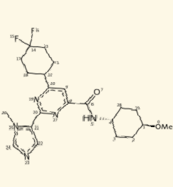 CO[C@H]1CC[C@H](NC(=O)c2cc(C3CCC(F)(F)CC3)nc(-c3cncn3C)n2)CC1